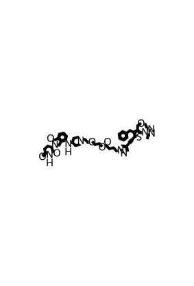 Cc1nnc2n1-c1sc(C#Cc3cnn(CCCC(=O)OCCOCCN4CCC(Nc5cccc6c5CN(C5CCC(=O)NC5=O)C6=O)CC4)c3)c(Cc3ccccc3)c1COC2